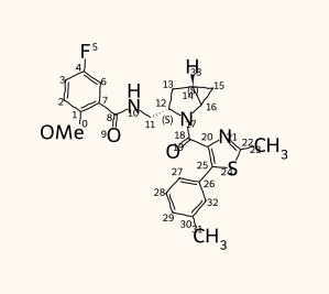 COc1ccc(F)cc1C(=O)NC[C@@H]1C[C@@H]2CC2N1C(=O)c1nc(C)sc1-c1cccc(C)c1